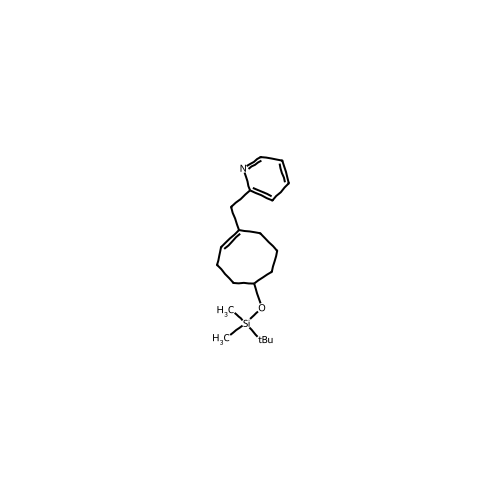 CC(C)(C)[Si](C)(C)OC1CCC=C(Cc2ccccn2)CCC1